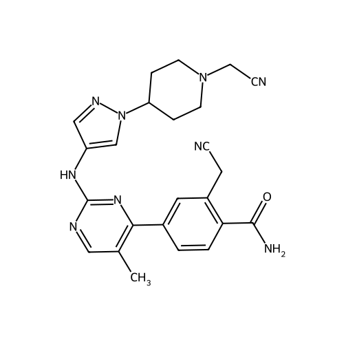 Cc1cnc(Nc2cnn(C3CCN(CC#N)CC3)c2)nc1-c1ccc(C(N)=O)c(CC#N)c1